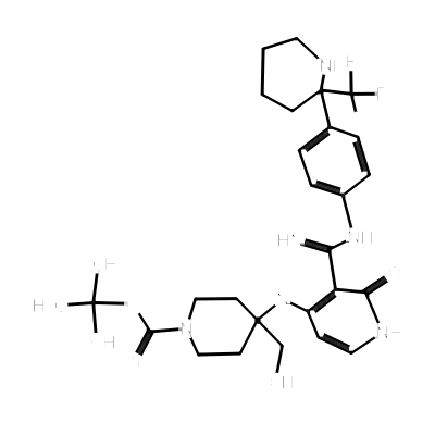 CCC1(Nc2cc[nH]c(=O)c2C(=N)Nc2ccc(C3(C(F)(F)F)CCCCN3)cc2)CCN(C(=O)OC(C)(C)C)CC1